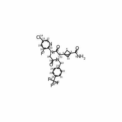 NC(=O)C12CC([C@H]3C(=O)N(c4ncc(Cl)cc4F)CC(=O)N3Cc3ccc(C(F)(F)F)cc3)(C1)C2